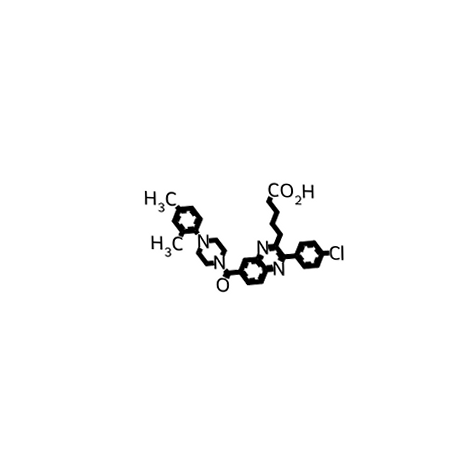 Cc1ccc(N2CCN(C(=O)c3ccc4nc(-c5ccc(Cl)cc5)c(CCCCC(=O)O)nc4c3)CC2)c(C)c1